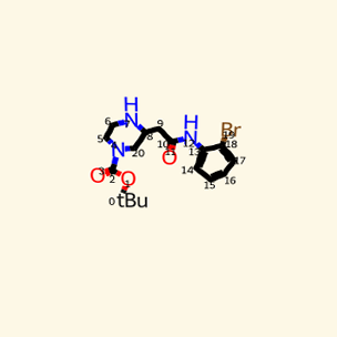 CC(C)(C)OC(=O)N1CCNC(CC(=O)Nc2ccccc2Br)C1